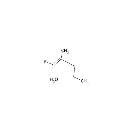 CCCC(C)=CF.O